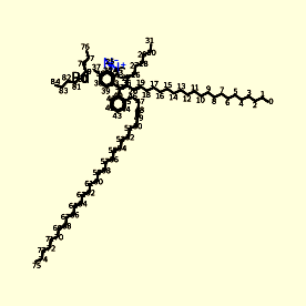 CCCCCCCCCCCCCCCCCCCC=CC(C(=C=[N+]=[N-])CCCCCC)=C(c1ccc(C)cc1)c1ccccc1CCC#CCCCCCCCCCCCCCCCCCCCCCCCCCC.CCC[CH2][Pd][CH2]CCC